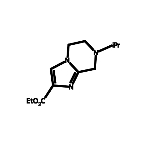 CCOC(=O)c1cn2c(n1)CN(C(C)C)CC2